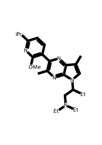 CCC(CN(CC)CC)n1cc(C)c2nc(-c3ccc(C(C)C)nc3OC)c(C)nc21